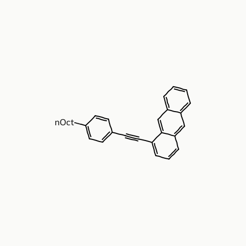 CCCCCCCCc1ccc(C#Cc2cccc3cc4ccccc4cc23)cc1